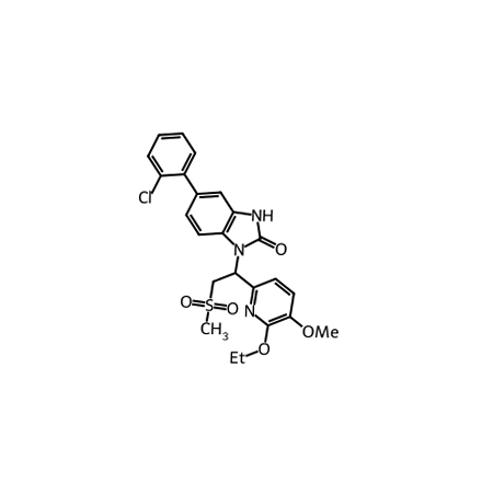 CCOc1nc(C(CS(C)(=O)=O)n2c(=O)[nH]c3cc(-c4ccccc4Cl)ccc32)ccc1OC